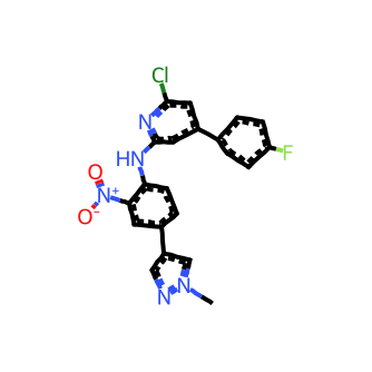 Cn1cc(-c2ccc(Nc3cc(-c4ccc(F)cc4)cc(Cl)n3)c([N+](=O)[O-])c2)cn1